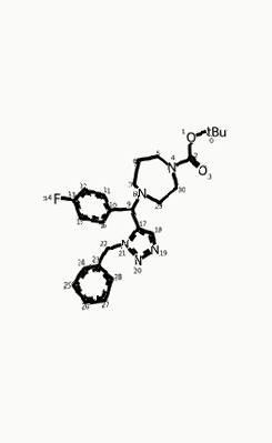 CC(C)(C)OC(=O)N1CCCN(C(c2ccc(F)cc2)c2cnnn2Cc2ccccc2)CC1